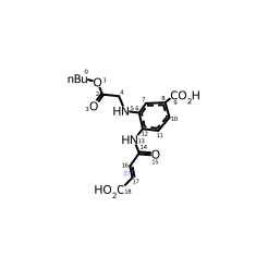 CCCCOC(=O)CNc1cc(C(=O)O)ccc1NC(=O)/C=C/C(=O)O